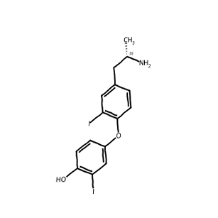 C[C@H](N)Cc1ccc(Oc2ccc(O)c(I)c2)c(I)c1